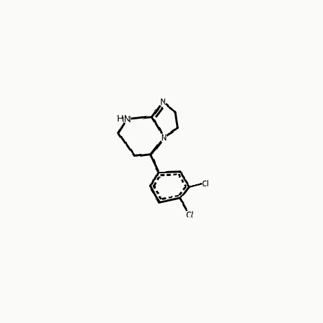 Clc1ccc(C2CCNC3=NCCN32)cc1Cl